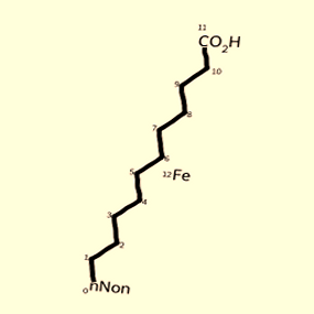 CCCCCCCCCCCCCCCCCCCC(=O)O.[Fe]